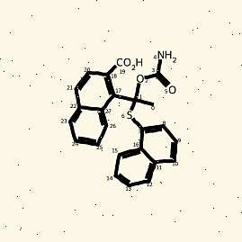 CC(OC(N)=O)(Sc1cccc2ccccc12)c1c(C(=O)O)ccc2ccccc12